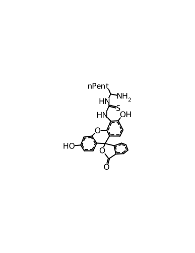 CCCCCC(N)NC(=S)Nc1c(O)ccc2c1Oc1cc(O)ccc1C21OC(=O)c2ccccc21